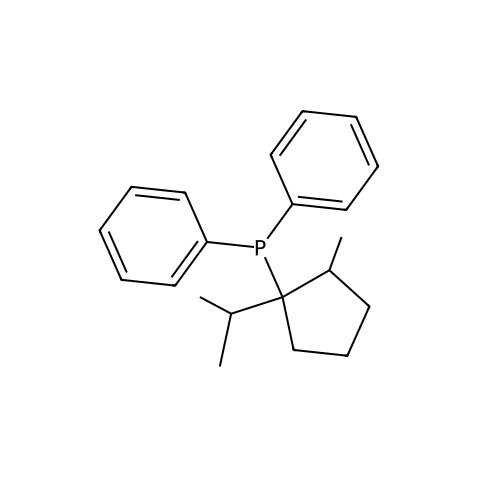 CC(C)C1(P(c2ccccc2)c2ccccc2)CCCC1C